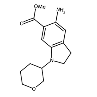 COC(=O)c1cc2c(cc1N)CCN2C1CCCOC1